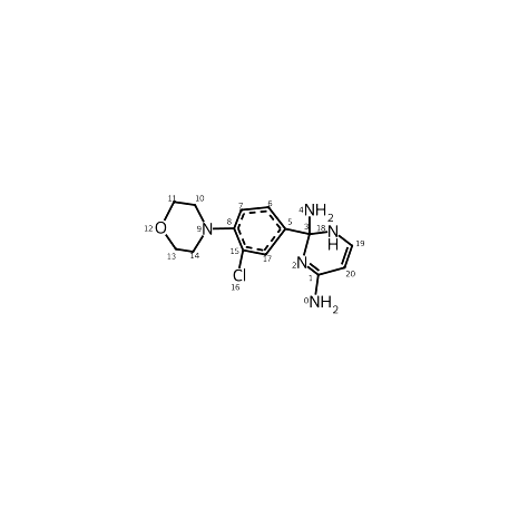 NC1=NC(N)(c2ccc(N3CCOCC3)c(Cl)c2)NC=C1